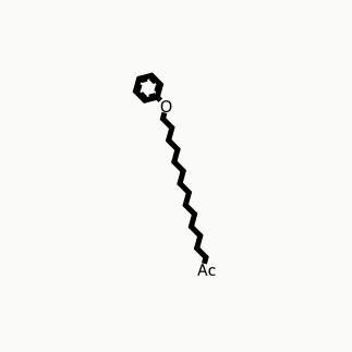 CC(=O)CCCCCCCCCCCCCCOc1ccccc1